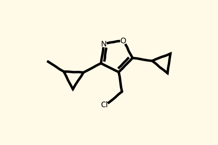 CC1CC1c1noc(C2CC2)c1CCl